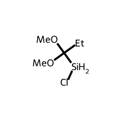 CCC(OC)(OC)[SiH2]Cl